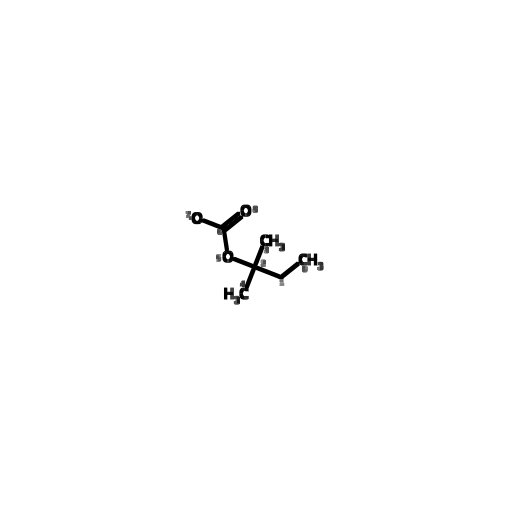 CCC(C)(C)OC([O])=O